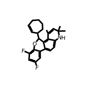 CC1=CC(C)(C)Nc2ccc3c(c21)C(C1C=CCCCC1)Oc1c(F)cc(F)cc1-3